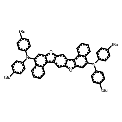 CC(C)(C)c1ccc(N(c2ccc(C(C)(C)C)cc2)c2cc3oc4cc5c(cc4c3c3ccccc23)oc2cc(N(c3ccc(C(C)(C)C)cc3)c3ccc(C(C)(C)C)cc3)c3ccccc3c25)cc1